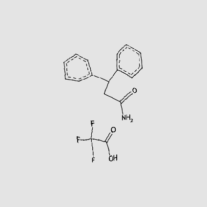 NC(=O)CC(c1ccccc1)c1ccccc1.O=C(O)C(F)(F)F